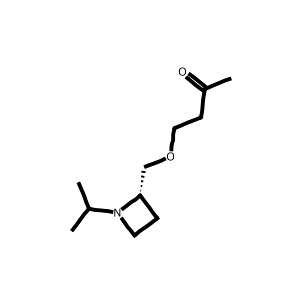 CC(=O)CCOC[C@@H]1CCN1C(C)C